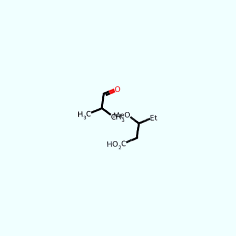 CC(C)C=O.CCC(CC(=O)O)OC